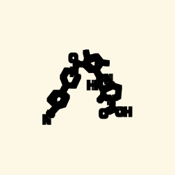 Cc1cc(C)c(-c2nc3c([nH]2)C(C)N(C(=O)O)CC3)cc1C(=O)N1CCC(c2ccc(C#N)cc2)CC1